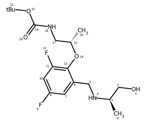 C[C@H](CO)NCc1cc(F)cc(F)c1O[C@@H](C)CNC(=O)OC(C)(C)C